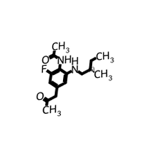 CC[C@H](C)CNc1cc(CC(C)=O)cc(F)c1NC(C)=O